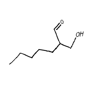 CCCCCC(C=O)CO